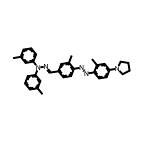 Cc1cccc(N(N=Cc2ccc(N=Nc3ccc(N4CCCC4)cc3C)c(C)c2)c2cccc(C)c2)c1